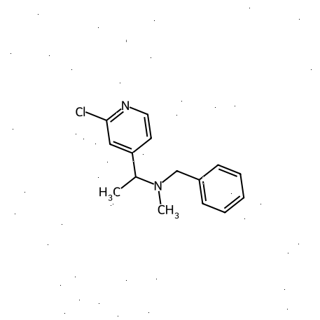 CC(c1ccnc(Cl)c1)N(C)Cc1ccccc1